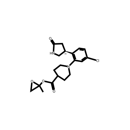 CC1(OC(=O)C2CCN(c3cc(Cl)ccc3[C@H]3CNC(=O)C3)CC2)CO1